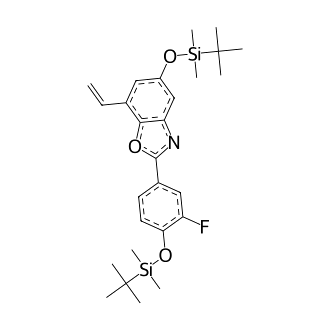 C=Cc1cc(O[Si](C)(C)C(C)(C)C)cc2nc(-c3ccc(O[Si](C)(C)C(C)(C)C)c(F)c3)oc12